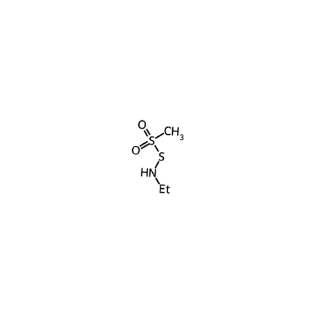 CCNSS(C)(=O)=O